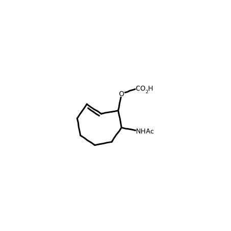 CC(=O)NC1CCCC/C=C/C1OC(=O)O